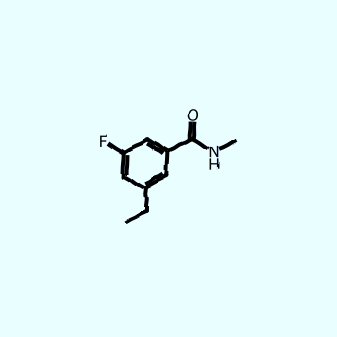 CCc1cc(F)cc(C(=O)NC)c1